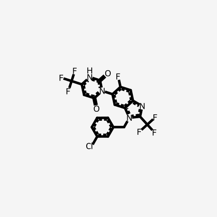 O=c1cc(C(F)(F)F)[nH]c(=O)n1-c1cc2c(cc1F)nc(C(F)(F)F)n2Cc1cccc(Cl)c1